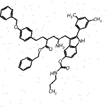 CCCNC(=O)Oc1ccc2[nH]c(-c3cc(C)cc(C)c3)c(CC(N)CC(CCc3ccc(OCc4ccccc4)cc3)C(=O)OCc3ccccc3)c2c1